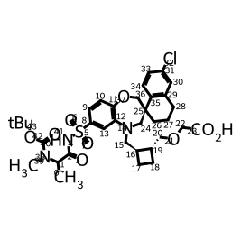 CC(C(=O)NS(=O)(=O)c1ccc2c(c1)N(C[C@@H]1CC[C@H]1COCC(=O)O)C[C@@]1(CCCc3cc(Cl)ccc31)CO2)N(C)C(=O)OC(C)(C)C